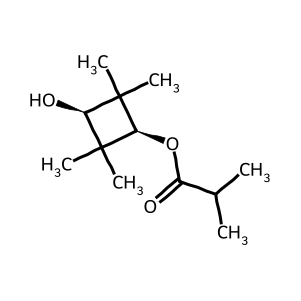 CC(C)C(=O)O[C@H]1C(C)(C)[C@@H](O)C1(C)C